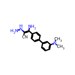 CN(C)c1cccc(-c2ccc(/C(N)=C(\C#N)NN)cc2)c1